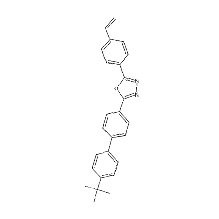 C=Cc1ccc(-c2nnc(-c3ccc(-c4ccc(C(C)(C)C)cc4)cc3)o2)cc1